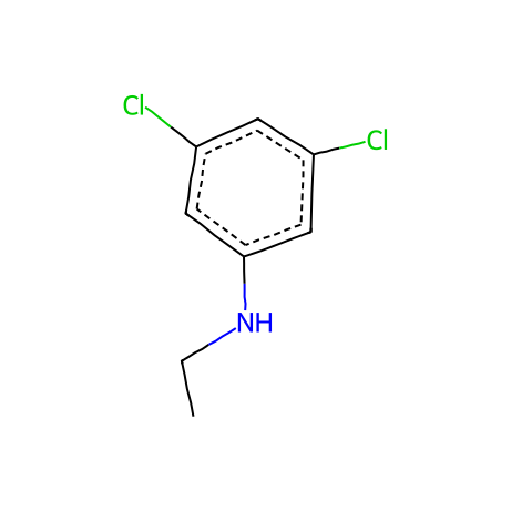 CCNc1cc(Cl)cc(Cl)c1